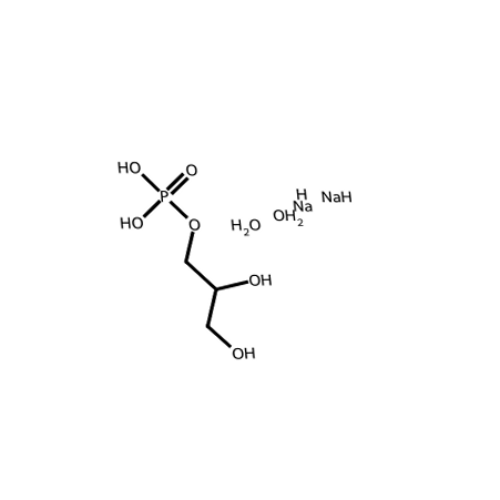 O.O.O=P(O)(O)OCC(O)CO.[NaH].[NaH]